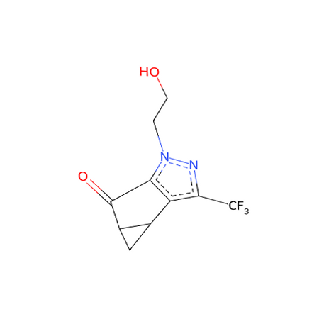 O=C1c2c(c(C(F)(F)F)nn2CCO)C2CC12